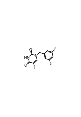 O=c1[nH]c(=O)n(Cc2cc(F)cc(F)c2)cc1I